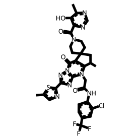 Cc1cnc(-c2nc3n(CC(=O)Nc4ccc(C(F)(F)F)cc4Cl)c4c(c(=O)n3n2)C2(CCN(C(=O)c3ncnc(C)c3O)CC2)CC4C)s1